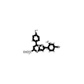 CCOC(=O)c1cc(-c2ccc(F)cc2)n2nc(-c3ccc(Br)cc3F)cc2n1